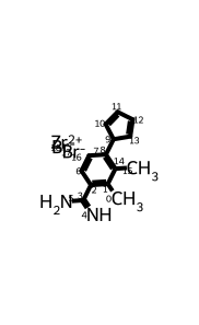 Cc1c(C(=N)N)ccc(C2C=CC=C2)c1C.[Br-].[Br-].[Zr+2]